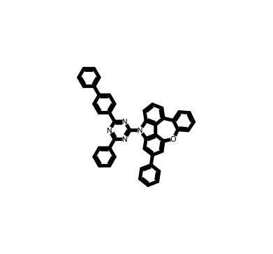 c1ccc(-c2ccc(-c3nc(-c4ccccc4)nc(-n4c5cc(-c6ccccc6)cc6oc7ccccc7c7cccc4c7c65)n3)cc2)cc1